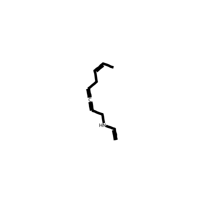 C=CNCC=C=CC/C=C\C